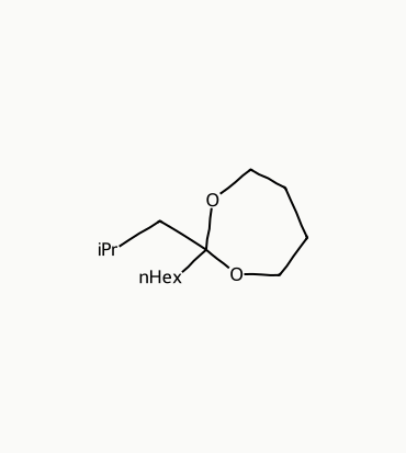 CCCCCCC1(CC(C)C)OCCCCO1